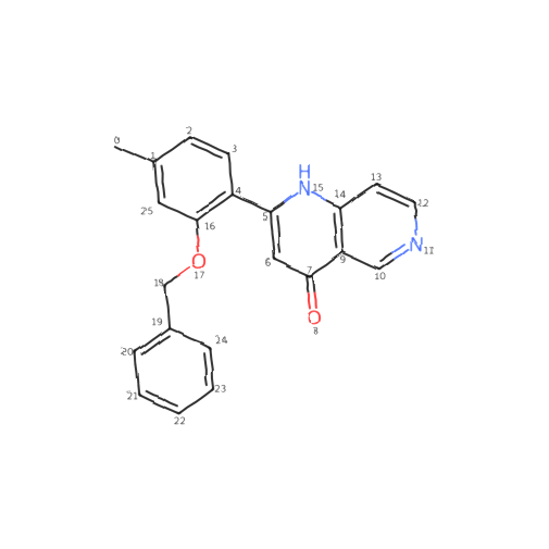 Cc1ccc(-c2cc(=O)c3cnccc3[nH]2)c(OCc2ccccc2)c1